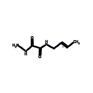 C/C=C/CNC(=O)C(=O)NN